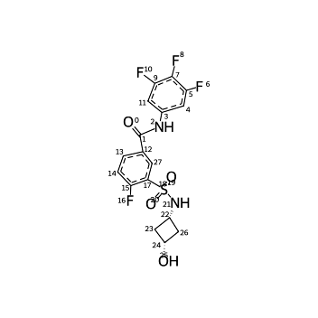 O=C(Nc1cc(F)c(F)c(F)c1)c1ccc(F)c(S(=O)(=O)N[C@H]2C[C@@H](O)C2)c1